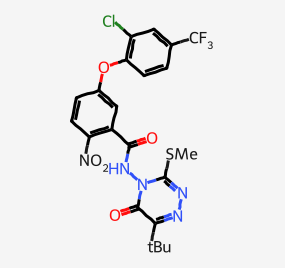 CSc1nnc(C(C)(C)C)c(=O)n1NC(=O)c1cc(Oc2ccc(C(F)(F)F)cc2Cl)ccc1[N+](=O)[O-]